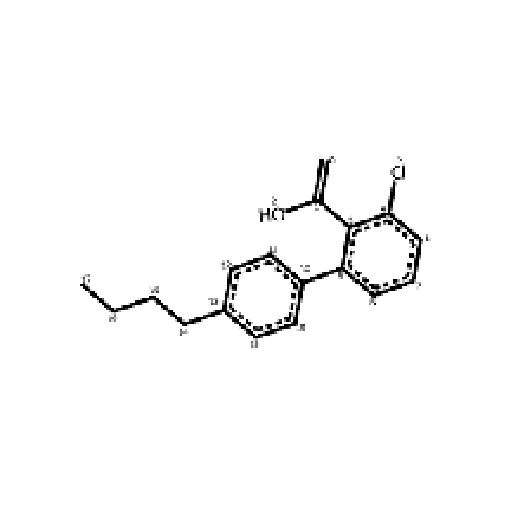 C=C(O)c1c(Cl)cccc1-c1ccc(CCCC)cc1